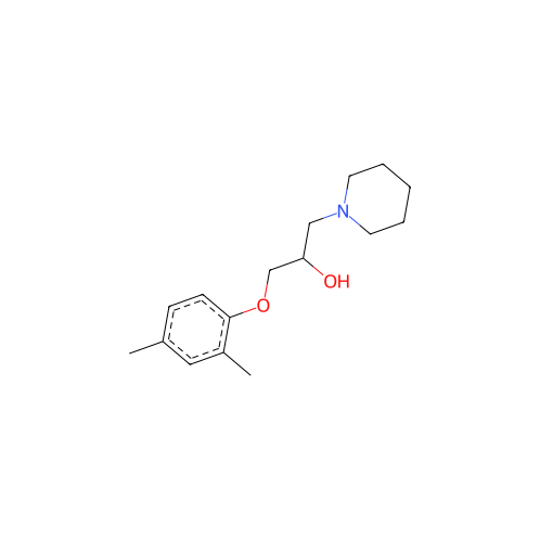 Cc1ccc(OCC(O)CN2CCCCC2)c(C)c1